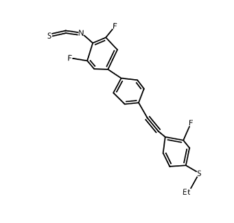 CCSc1ccc(C#Cc2ccc(-c3cc(F)c(N=C=S)c(F)c3)cc2)c(F)c1